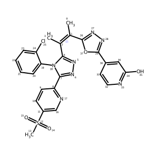 C/C(=C(\C)c1nnc(-c2ccc(S(C)(=O)=O)cn2)n1-c1ccccc1Cl)c1nnc(-c2ccnc(O)c2)o1